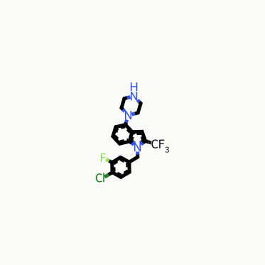 Fc1cc(Cn2c(C(F)(F)F)cc3c(N4CCNCC4)cccc32)ccc1Cl